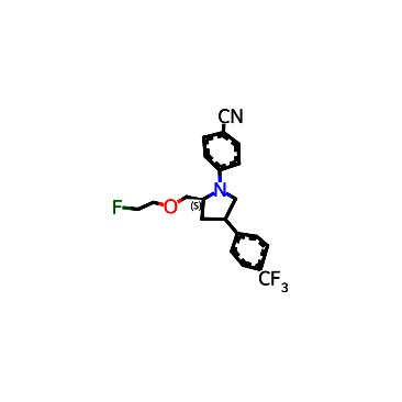 N#Cc1ccc(N2CC(c3ccc(C(F)(F)F)cc3)C[C@H]2COCCF)cc1